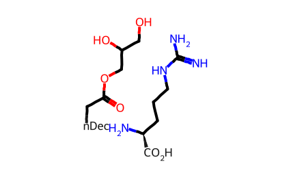 CCCCCCCCCCCC(=O)OCC(O)CO.N=C(N)NCCC[C@H](N)C(=O)O